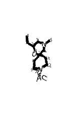 C=CC1CN(C)CC2(CCN(C(C)=O)CC2)O1